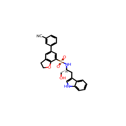 N#Cc1cccc(-c2cc3c(c(S(=O)(=O)N[C@@H](CO)Cc4c[nH]c5ccccc45)c2)OCC3)c1